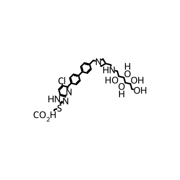 O=C(O)CSc1nc2nc(-c3ccc(-c4ccc(CN5CC(CNCC(O)C(O)[C@@H](O)[C@@H](O)CO)C5)cc4)cc3)c(Cl)cc2[nH]1